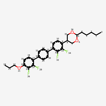 CCCCCC1OCC(c2ccc(-c3ccc(-c4ccc(OCCC)c(F)c4F)cc3)c(F)c2F)CO1